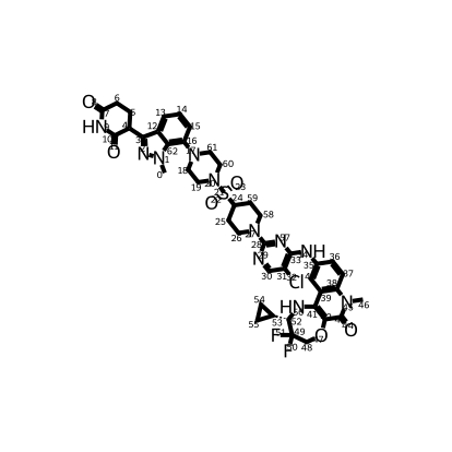 Cn1nc(C2CCC(=O)NC2=O)c2cccc(N3CCN(S(=O)(=O)C4CCN(c5ncc(Cl)c(Nc6ccc7c(c6)c6c(c(=O)n7C)OCC(F)(F)[C@H](C7CC7)N6)n5)CC4)CC3)c21